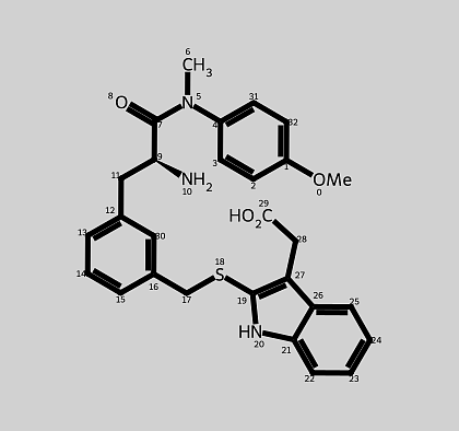 COc1ccc(N(C)C(=O)[C@@H](N)Cc2cccc(CSc3[nH]c4ccccc4c3CC(=O)O)c2)cc1